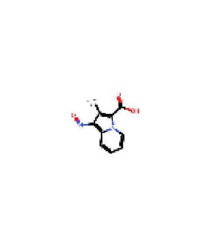 Cc1c(N=O)c2ccccn2c1C(=O)O